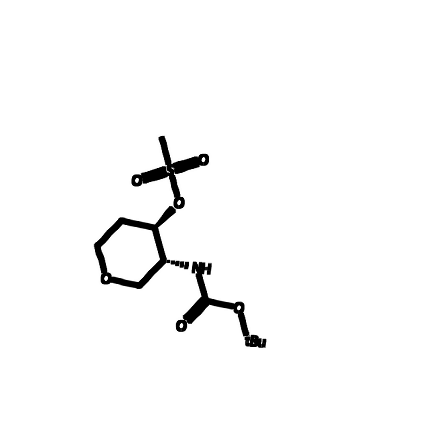 CC(C)(C)OC(=O)N[C@@H]1COCC[C@H]1OS(C)(=O)=O